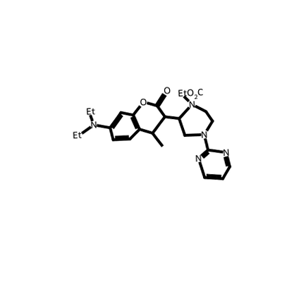 CCOC(=O)N1CCN(c2ncccn2)CC1C1C(=O)Oc2cc(N(CC)CC)ccc2C1C